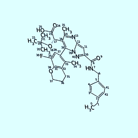 CCc1ccc(CNC(=O)c2cc3nc(C)c([C@H](OC(C)(C)C)C(=O)O)c(-c4cc(F)c5c(c4C)CCCO5)n3n2)cc1